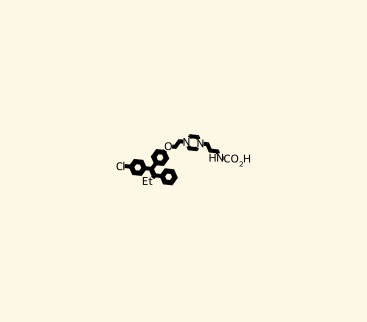 CC/C(=C(\c1ccc(Cl)cc1)c1ccc(OCCN2CCN(CCCNC(=O)O)CC2)cc1)c1ccccc1